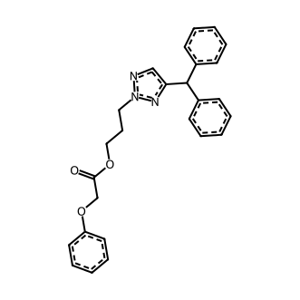 O=C(COc1ccccc1)OCCCn1ncc(C(c2ccccc2)c2ccccc2)n1